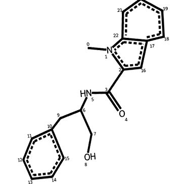 Cn1c(C(=O)NC(CO)Cc2ccccc2)cc2ccccc21